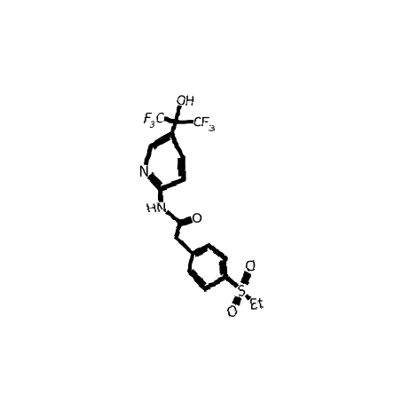 CCS(=O)(=O)c1ccc(CC(=O)Nc2ccc(C(O)(C(F)(F)F)C(F)(F)F)cn2)cc1